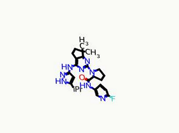 CC(C)c1cc(Nc2nc(N3CCCC3C(=O)Nc3ccc(F)nc3)nc3c2CCC3(C)C)n[nH]1